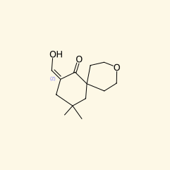 CC1(C)C/C(=C/O)C(=O)C2(CCOCC2)C1